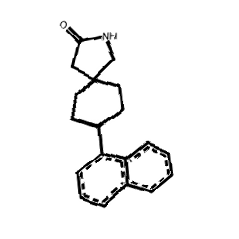 O=C1CC2(CCC(c3cccc4ccccc34)CC2)CN1